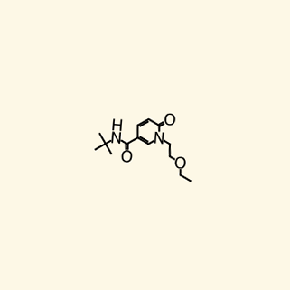 CCOCCn1cc(C(=O)NC(C)(C)C)ccc1=O